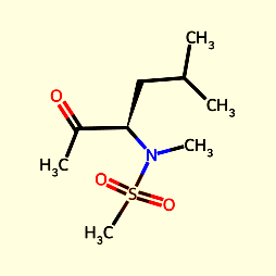 CC(=O)[C@@H](CC(C)C)N(C)S(C)(=O)=O